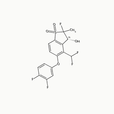 CC1(F)[C@H](O)c2c(ccc(Oc3ccc(F)c(F)c3)c2C(F)F)S1(=O)=O